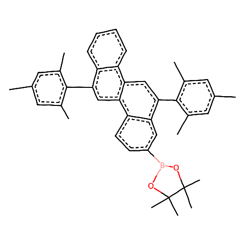 Cc1cc(C)c(-c2cc3c4ccc(B5OC(C)(C)C(C)(C)O5)cc4c(-c4c(C)cc(C)cc4C)cc3c3ccccc23)c(C)c1